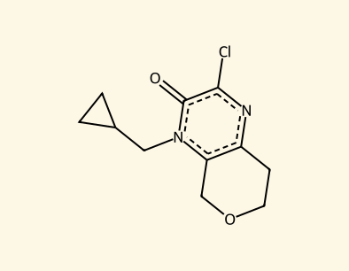 O=c1c(Cl)nc2c(n1CC1CC1)COCC2